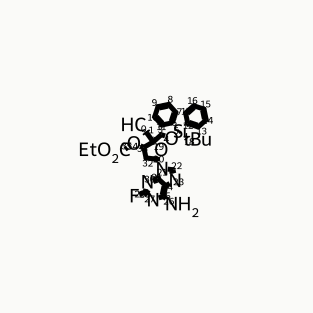 C#CC1(CO[Si](c2ccccc2)(c2ccccc2)C(C)(C)C)OC(n2cnc3c(N)nc(F)nc32)CC1OC(=O)OCC